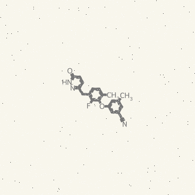 Cc1cc(C#N)cc(Oc2c(C)ccc(Cc3ccc(=O)[nH]n3)c2F)c1